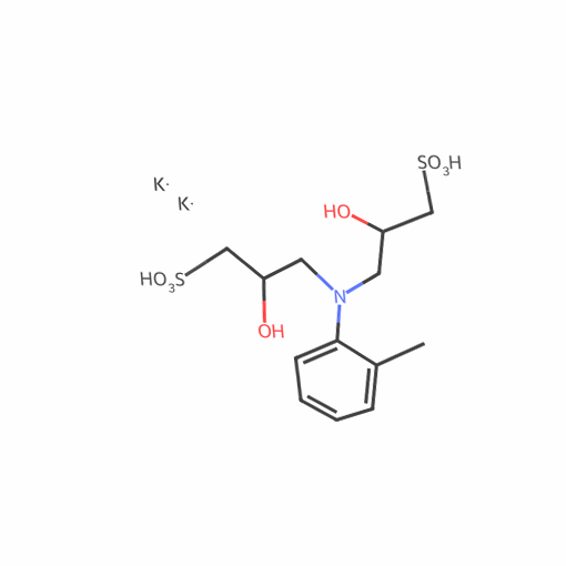 Cc1ccccc1N(CC(O)CS(=O)(=O)O)CC(O)CS(=O)(=O)O.[K].[K]